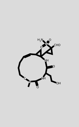 CN1CCCCC=CC2CC2(C2CC2(C=O)S(N)(=O)=O)NC(=O)C(CCO)NC1=O